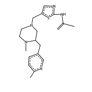 C=C(C)Nc1ncc(CN2CCN(C)C(Cc3ccc(C)nc3)C2)s1